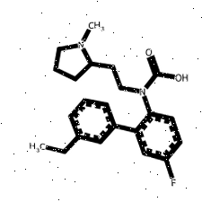 CCc1cccc(-c2cc(F)ccc2N(CCC2CCCN2C)C(=O)O)c1